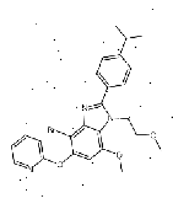 COCCn1c(-c2ccc(C(C)C)cc2)nc2c(Br)c(Oc3ccccn3)cc(OC)c21